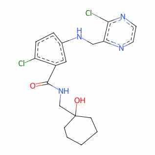 O=C(NCC1(O)CCCCC1)c1cc(NCc2nccnc2Cl)ccc1Cl